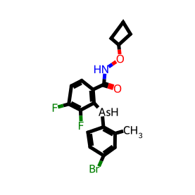 Cc1cc(Br)ccc1[AsH]c1c(C(=O)NOC2CCC2)ccc(F)c1F